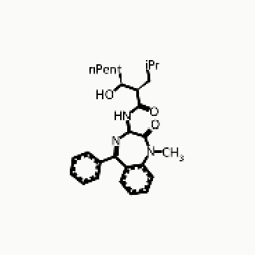 CCCCC[C@H](O)[C@@H](CC(C)C)C(=O)NC1N=C(c2ccccc2)c2ccccc2N(C)C1=O